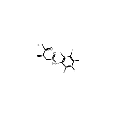 C=C(CC(=O)Nc1c(F)c(F)c(F)c(F)c1F)C(=O)O